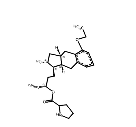 CCCCC[C@@H](CC[C@@H]1[C@H]2Cc3cccc(OCC(=O)O)c3C[C@H]2C[C@H]1O)OC(=O)C1CCCN1